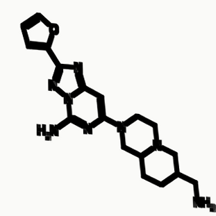 NCC1CCC2CN(c3cc4nc(-c5ccco5)nn4c(N)n3)CCN2C1